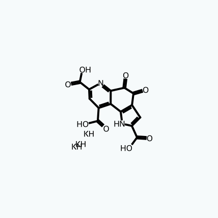 O=C(O)c1cc(C(=O)O)c2c(n1)C(=O)C(=O)c1cc(C(=O)O)[nH]c1-2.[KH].[KH].[KH]